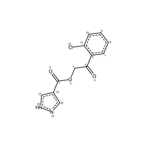 O=C(OCC(=O)c1ccccc1Cl)c1cn[nH]c1